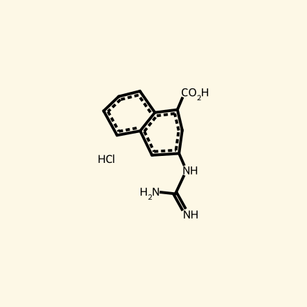 Cl.N=C(N)Nc1cc(C(=O)O)c2ccccc2c1